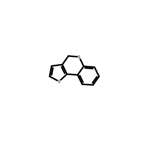 c1ccc2c(c1)SCc1ccsc1-2